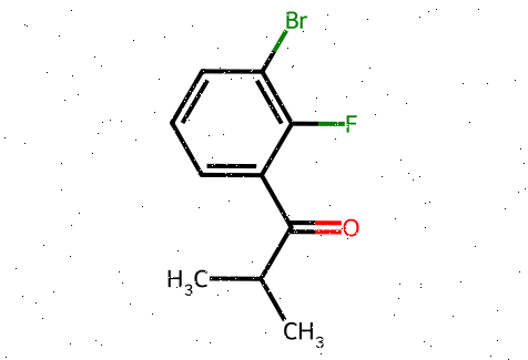 CC(C)C(=O)c1cccc(Br)c1F